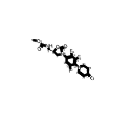 COC(=O)NC[C@H]1CN(c2cc(F)c(N3C=CC(=O)CC3)c(F)c2F)C(=O)O1